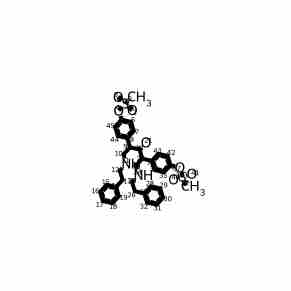 CS(=O)(=O)Oc1ccc(C(CNCCc2ccccc2)C(=O)C(CNCCc2ccccc2)c2ccc(OS(C)(=O)=O)cc2)cc1